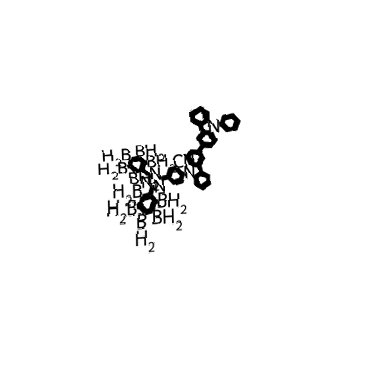 Bc1c(B)c(B)c(-c2nc(-c3ccc(-n4c5ccccc5c5cc(-c6ccc7c(c6)c6ccccc6n7-c6ccccc6)ccc54)c(C#N)c3)nc(-c3c(B)c(B)c(B)c(B)c3B)n2)c(B)c1B